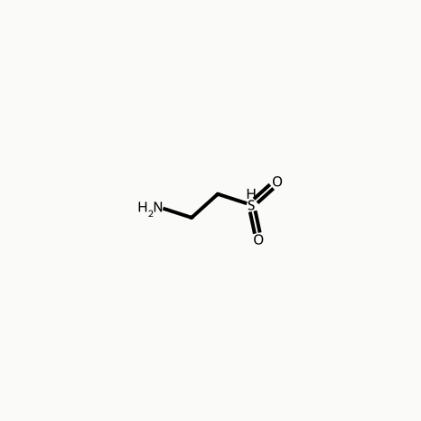 NCC[SH](=O)=O